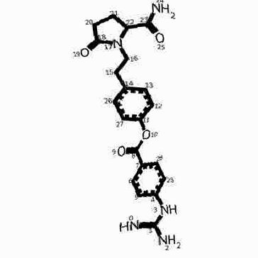 N=C(N)Nc1ccc(C(=O)Oc2ccc(CCN3C(=O)CCC3C(N)=O)cc2)cc1